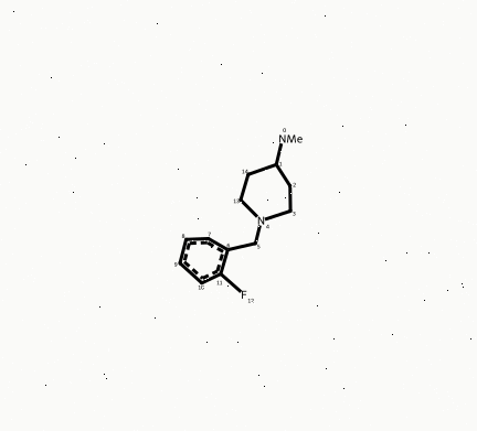 CNC1CCN(Cc2ccccc2F)CC1